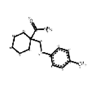 Cc1ccc(SCC2(C(N)=O)CCCCC2)cc1